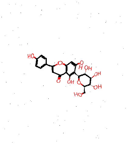 O=C1CC(c2ccc(O)cc2)Oc2cc(O)c([C@@H]3O[C@H](CO)[C@@H](O)[C@H](O)[C@H]3O)c(O)c21